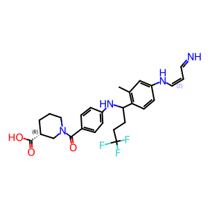 Cc1cc(N/C=C\C=N)ccc1C(CCC(F)(F)F)Nc1ccc(C(=O)N2CCC[C@@H](C(=O)O)C2)cc1